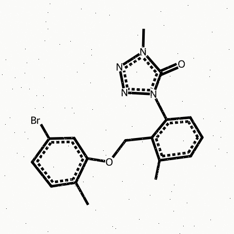 Cc1ccc(Br)cc1OCc1c(C)cccc1-n1nnn(C)c1=O